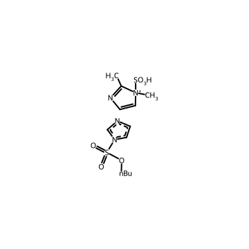 CC1=NC=C[N+]1(C)S(=O)(=O)O.CCCCOS(=O)(=O)n1ccnc1